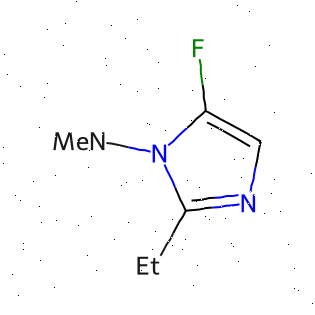 CCc1ncc(F)n1NC